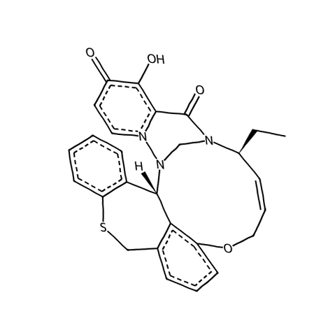 CC[C@H]1/C=C\COc2cccc3c2[C@H](c2ccccc2SC3)N2CN1C(=O)c1c(O)c(=O)ccn12